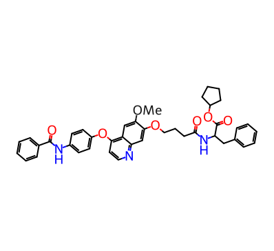 COc1cc2c(Oc3ccc(NC(=O)c4ccccc4)cc3)ccnc2cc1OCCCC(=O)NC(Cc1ccccc1)C(=O)OC1CCCC1